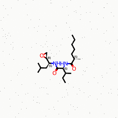 CCCCC[C@H](C)C(=O)N[C@H](C(=O)N[C@@H](CC(C)C)[C@@H]1CO1)C(C)CC